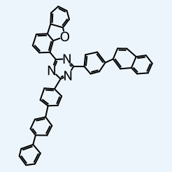 c1ccc(-c2ccc(-c3ccc(-c4nc(-c5ccc(-c6ccc7ccccc7c6)cc5)nc(-c5cccc6c5oc5ccccc56)n4)cc3)cc2)cc1